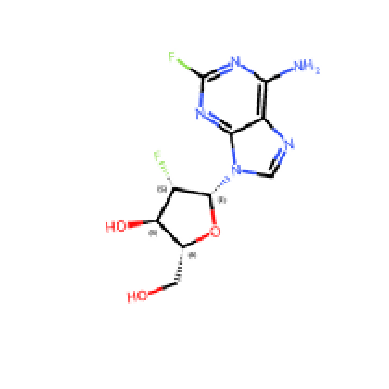 Nc1nc(F)nc2c1ncn2[C@@H]1O[C@H](CO)[C@@H](O)[C@@H]1F